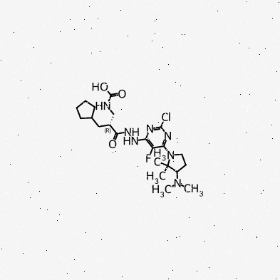 CN(C)C1CCN(c2nc(Cl)nc(NNC(=O)[C@@H](CNC(=O)O)CC3CCCC3)c2F)C1(C)C